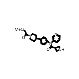 COCC(=O)N1CCC(c2ccc(N(C(=O)C3CNC3)c3cccnc3)cc2)CC1